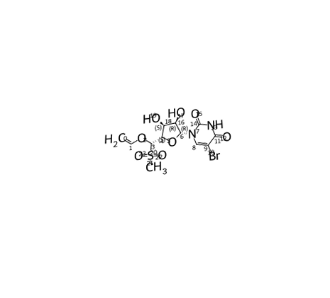 C=COC([C@H]1O[C@@H](n2cc(Br)c(=O)[nH]c2=O)[C@H](O)[C@@H]1O)S(C)(=O)=O